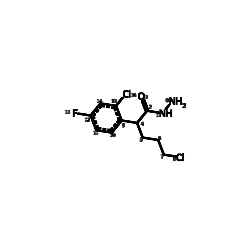 NNC(=O)C(CCCCl)c1ccc(F)cc1Cl